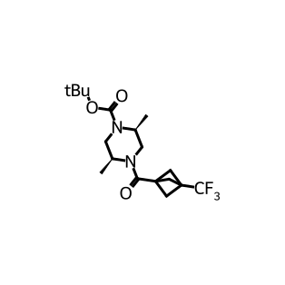 C[C@H]1CN(C(=O)C23CC(C(F)(F)F)(C2)C3)[C@@H](C)CN1C(=O)OC(C)(C)C